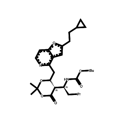 CC(C)C[C@H](NC(=O)OC(C)(C)C)[C@@H]1C(=O)OC(C)(C)OC1Cc1nccc2oc(CCC3CC3)cc12